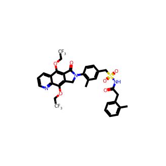 Cc1ccccc1CC(=O)NS(=O)(=O)Cc1ccc(N2Cc3c(c(OCC(F)(F)F)c4cccnc4c3OCC(F)(F)F)C2=O)c(C)c1